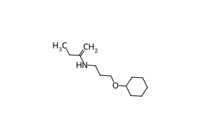 C=C(CC)NCCCOC1CCCCC1